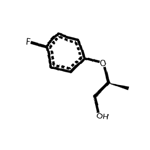 C[C@@H](CO)Oc1ccc(F)cc1